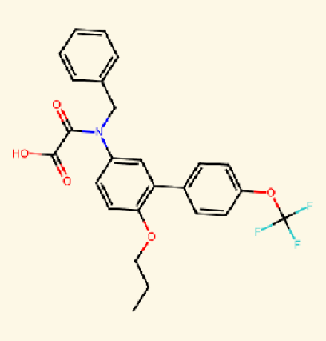 CCCOc1ccc(N(Cc2ccccc2)C(=O)C(=O)O)cc1-c1ccc(OC(F)(F)F)cc1